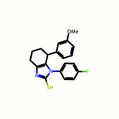 COc1cccc(C2CCCc3nc(S)n(-c4ccc(F)cc4)c32)c1